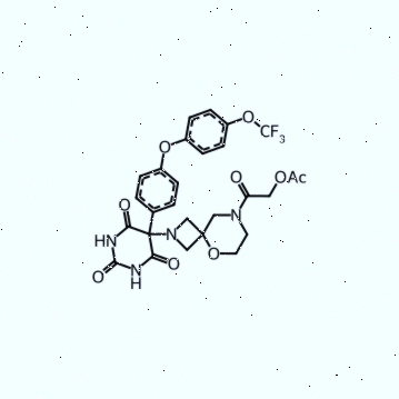 CC(=O)OCC(=O)N1CCOC2(C1)CN(C1(c3ccc(Oc4ccc(OC(F)(F)F)cc4)cc3)C(=O)NC(=O)NC1=O)C2